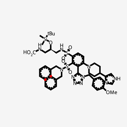 COc1ccc(Cn2nnnc2-c2c(N3CCC(c4c[nH]cn4)CC3)ccc(S(=O)(=O)NC[C@@H](CNC(=O)O)O[Si](C)(C)C(C)(C)C)c2S(=O)(=O)N(Cc2ccccc2)Cc2ccccc2)cc1